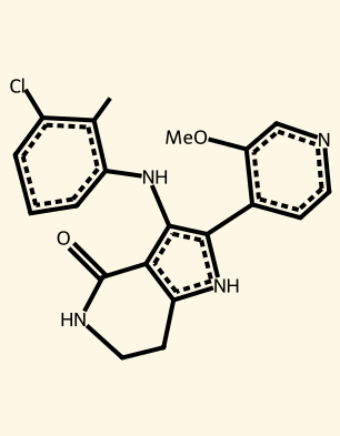 COc1cnccc1-c1[nH]c2c(c1Nc1cccc(Cl)c1C)C(=O)NCC2